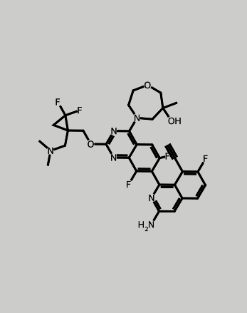 C#Cc1c(F)ccc2cc(N)nc(-c3c(F)cc4c(N5CCOCC(C)(O)C5)nc(OCC5(CN(C)C)CC5(F)F)nc4c3F)c12